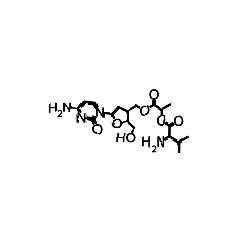 CC(OC(=O)C(N)C(C)C)C(=O)OCC1CC(n2ccc(N)nc2=O)OC1CO